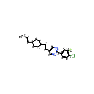 CCCC=CC1CCC(CCc2cnc(-c3ccc(Cl)c(F)c3)nc2)CC1